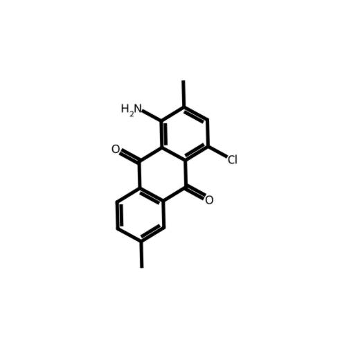 Cc1ccc2c(c1)C(=O)c1c(Cl)cc(C)c(N)c1C2=O